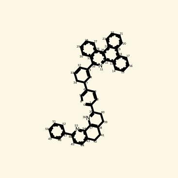 C=C(/C=C\C(=C/C)C1C=C(c2nc3c4ccccc4c4ccccc4c3c3ccccc23)C=CC1)C1=NC2=C(CC1)CCc1ccc(-c3ccccc3)nc12